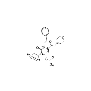 CC(C)CC(C(=O)O)N(COC(=O)C(C)(C)C)C(=O)[C@H](CCc1ccccc1)NC(=O)CN1CCOCC1